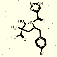 CC(CO)(CC(Cc1ccc(Br)cc1)NC(=O)c1c[nH]nn1)C(=O)O